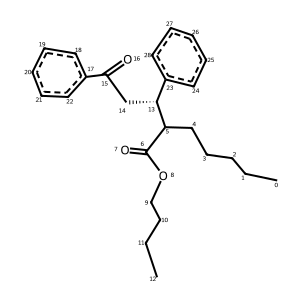 CCCCCC(C(=O)OCCCC)[C@H](CC(=O)c1ccccc1)c1ccccc1